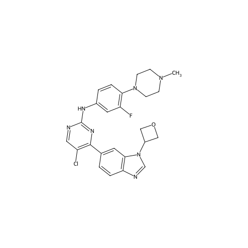 CN1CCN(c2ccc(Nc3ncc(Cl)c(-c4ccc5ncn(C6COC6)c5c4)n3)cc2F)CC1